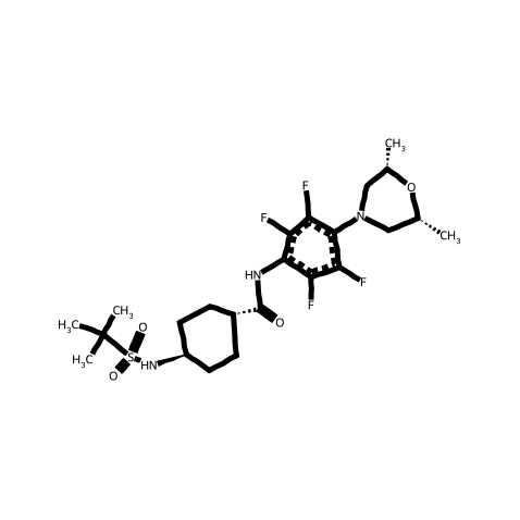 C[C@@H]1CN(c2c(F)c(F)c(NC(=O)[C@H]3CC[C@H](NS(=O)(=O)C(C)(C)C)CC3)c(F)c2F)C[C@H](C)O1